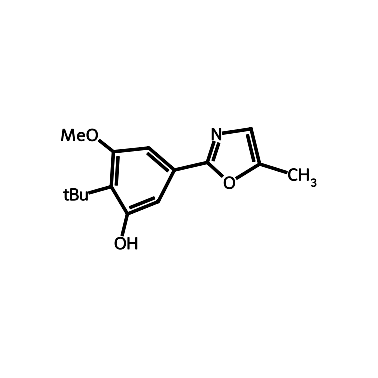 COc1cc(-c2ncc(C)o2)cc(O)c1C(C)(C)C